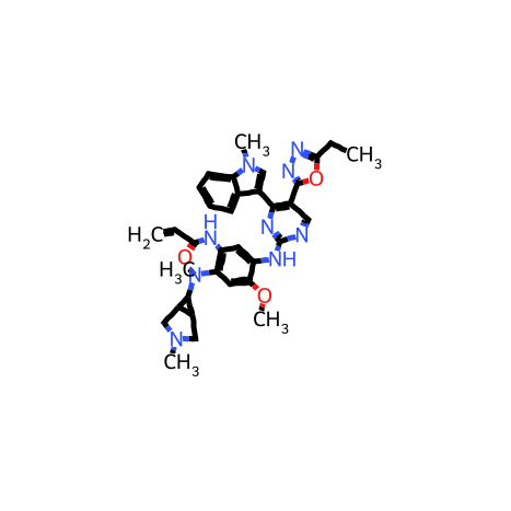 C=CC(=O)Nc1cc(Nc2ncc(-c3nnc(CC)o3)c(-c3cn(C)c4ccccc34)n2)c(OC)cc1N(C)C1C2CN(C)CC21